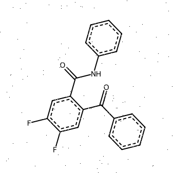 O=C(Nc1ccccc1)c1cc(F)c(F)cc1C(=O)c1ccccc1